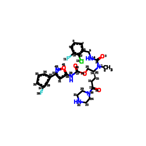 CN(C(=O)NCc1cccc(F)c1Cl)[C@H](CCC(=O)N1CCNCC1)COC(=O)Nc1cc(-c2cccc(F)c2)no1